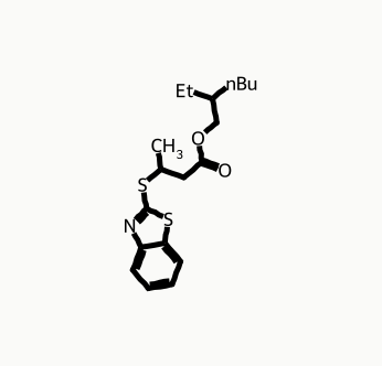 CCCCC(CC)COC(=O)CC(C)Sc1nc2ccccc2s1